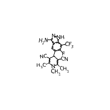 CC1=C(C#N)C(c2cc3c(N)n[nH]c3c(C(F)(F)F)c2F)C(C#N)=C(C)N1C